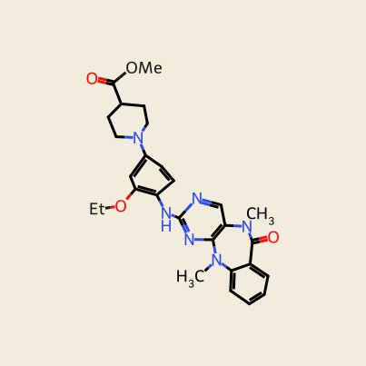 CCOc1cc(N2CCC(C(=O)OC)CC2)ccc1Nc1ncc2c(n1)N(C)c1ccccc1C(=O)N2C